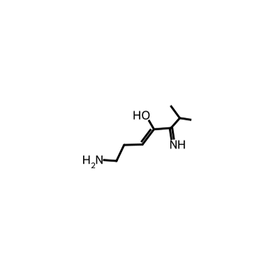 CC(C)C(=N)C(O)=CCCN